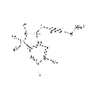 CC[N+]1([O-])c2cc(Cl)c(Cl)cc2N(CC#CCS(=O)(=O)O)C1C